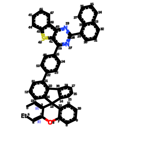 C/C=C1\C(=C/CC)Oc2ccccc2C12c1ccccc1-c1c(-c3ccc(-c4nc(-c5cccc6ccccc56)nc5c4sc4ccccc45)cc3)cccc12